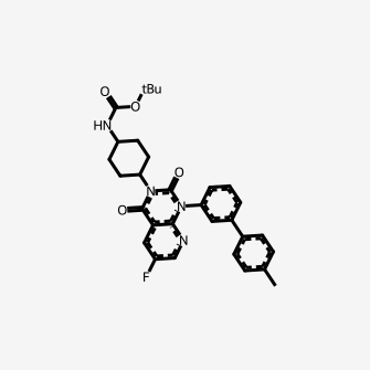 Cc1ccc(-c2cccc(-n3c(=O)n(C4CCC(NC(=O)OC(C)(C)C)CC4)c(=O)c4cc(F)cnc43)c2)cc1